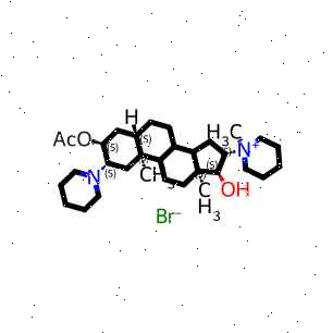 CC(=O)O[C@H]1C[C@@H]2CCC3C4C[C@H]([N+]5(C)CCCCC5)[C@@H](O)[C@@]4(C)CCC3[C@@]2(C)C[C@@H]1N1CCCCC1.[Br-]